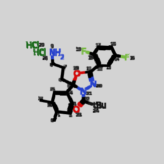 Cc1ccc(C2(CCCN)OC(c3cc(F)ccc3F)=NN2C(=O)C(C)(C)C)cc1C.Cl.Cl